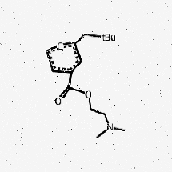 CN(C)CCOC(=O)c1cccc(CC(C)(C)C)c1